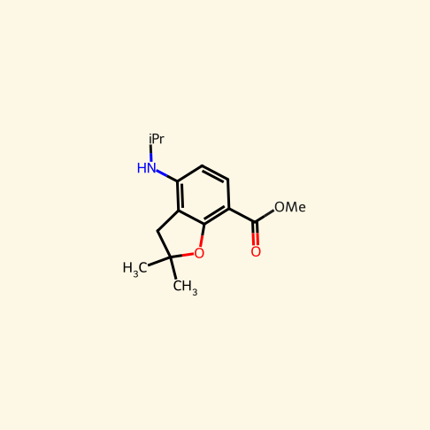 COC(=O)c1ccc(NC(C)C)c2c1OC(C)(C)C2